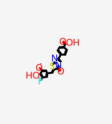 COc1cc(/C=c2\sc3nc(-c4ccc(C(=O)O)cc4)cn3c2=O)cc(F)c1O